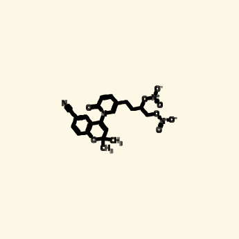 CC1(C)C=C(n2cc(CCC(CO[N+](=O)[O-])O[N+](=O)[O-])ccc2=O)c2cc(C#N)ccc2O1